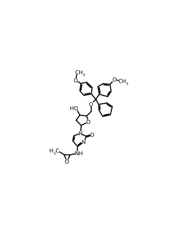 COc1ccc(C(OCC2OC(n3ccc(NC4OC4C)nc3=O)CC2O)(c2ccccc2)c2ccc(OC)cc2)cc1